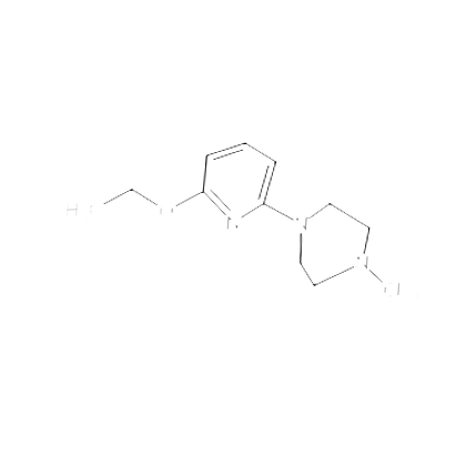 CCOc1cccc(N2CCN(C)CC2)n1